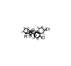 CCN1CCN(C(=O)OC2C[C@H]3CCC2N3S(=O)(=O)c2ccc(Cl)cc2)CC1